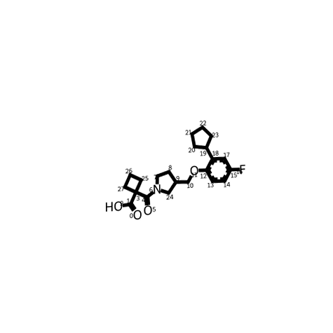 O=C(O)C1(C(=O)N2CCC(COc3ccc(F)cc3C3CCCC3)C2)CCC1